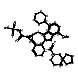 CCCS(=O)(=O)NC(=O)C1=C2Cn3c(cc4c(OC)ccc(C5CCCCC5)c43)C3C(=C21)C=CC[C@H]3C(=O)N1CCNC2(CCCC2)C1